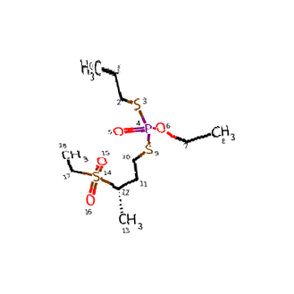 CCCSP(=O)(OCC)SCC[C@H](C)S(=O)(=O)CC